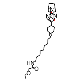 CCOCC(=O)NCCCCCCCCCN1CCC(c2cnc(N3C4CCC3CN(C(C)C)C4)nc2)CC1